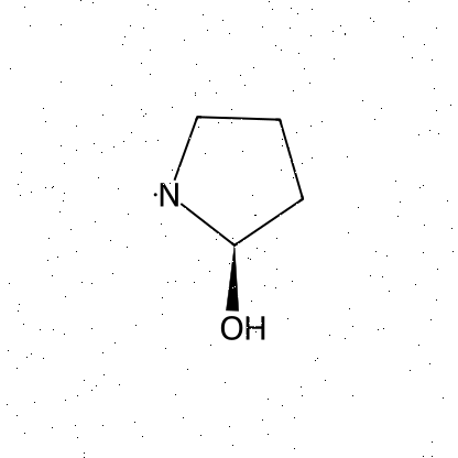 O[C@@H]1CCC[N]1